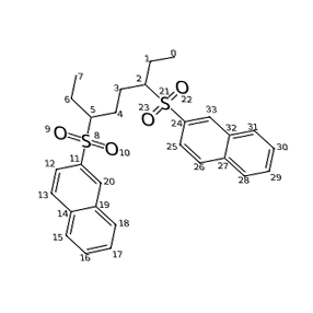 CCC(CCC(CC)S(=O)(=O)c1ccc2ccccc2c1)S(=O)(=O)c1ccc2ccccc2c1